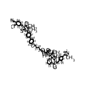 Cc1ncsc1-c1ccc(CNC(=O)[C@@H]2CCCN2C(=O)C(NC(=O)COCCCCOc2ccc(-c3ccc(N4C(=S)N(c5ccc(C#N)c(Cl)c5)C(=O)C4(C)C)cc3)cc2)C(C)(C)C)cc1